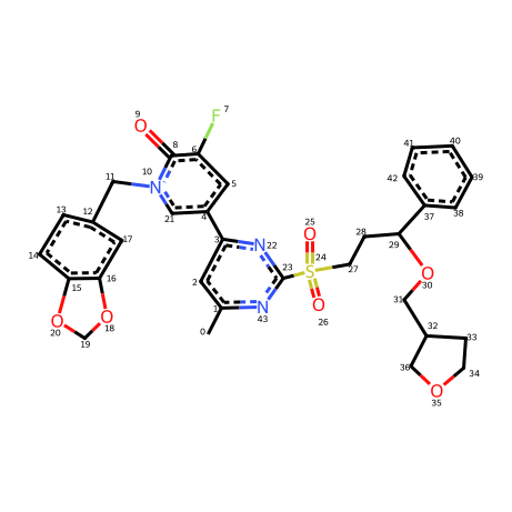 Cc1cc(-c2cc(F)c(=O)n(Cc3ccc4c(c3)OCO4)c2)nc(S(=O)(=O)CCC(OCC2CCOC2)c2ccccc2)n1